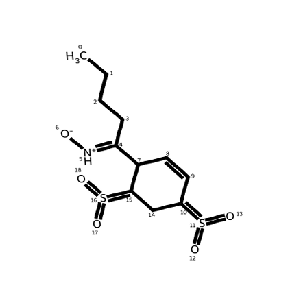 CCCCC(=[NH+][O-])C1C=CC(=S(=O)=O)CC1=S(=O)=O